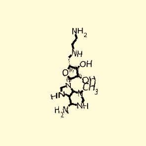 CN1CNC(N)C2NCN([C@@H]3O[C@H](CNCCN)[C@@H](O)[C@H]3O)C21